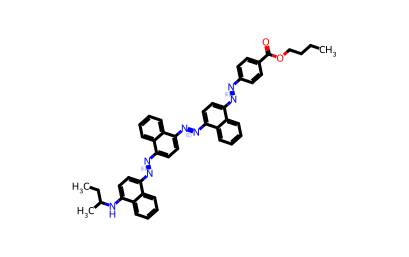 CCCCOC(=O)c1ccc(/N=N/c2ccc(/N=N/c3ccc(/N=N/c4ccc(NC(C)CC)c5ccccc45)c4ccccc34)c3ccccc23)cc1